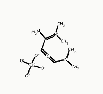 CN(C)C=C=CC(N)=[N+](C)C.[O-][Cl+3]([O-])([O-])[O-]